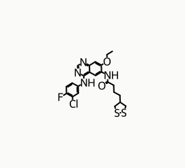 CCOc1cc2ncnc(Nc3ccc(F)c(Cl)c3)c2cc1NC(=O)CCCC1CSSC1